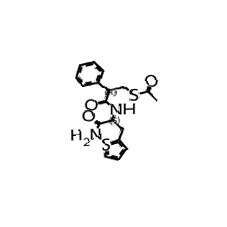 CC(=O)SC[C@@H](C(=O)N[C@@H](Cc1cccs1)C(N)=O)c1ccccc1